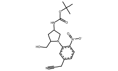 CC(C)(C)OC(=O)NC1CC(CO)N(c2cc(CC#N)ccc2[N+](=O)[O-])C1